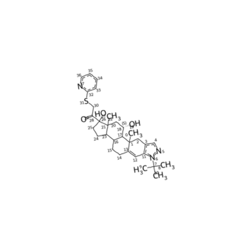 CC12Cc3cnn(C(C)(C)C)c3C=C1CCC1C2[C@@H](O)CC2(C)C1CCC2(O)C(=O)CSc1ccccn1